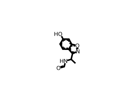 CC(NC=O)c1noc2cc(O)ccc12